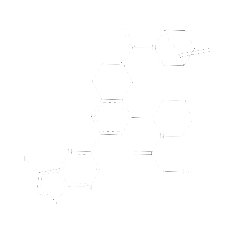 CC(C)(C)OC(=O)N1CCOCC1c1cc(-c2cnc3[nH]cc(Cl)c3n2)cc2c1CN(C(=O)N1CC3CCC1CC3=O)CC2